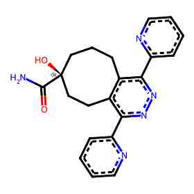 NC(=O)[C@]1(O)CCCc2c(-c3ccccn3)nnc(-c3ccccn3)c2CC1